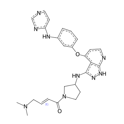 CN(C)C/C=C/C(=O)N1CCC(Nc2n[nH]c3nccc(Oc4cccc(Nc5ccncn5)c4)c23)C1